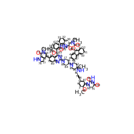 COc1ccc(C#CCNC2(C)CCN(C3CCN(c4nc([C@@](COCNC(=O)[C@H](Cc5ccccc5)N(C)C(=O)OC5c6ccccc6-c6ccccc65)(OC5CC5)c5ccccc5)c5cc(-c6cn(C)c(=O)c7[nH]ccc67)ccc5n4)CC3)CC2)cc1N1CCC(=O)NC1=O